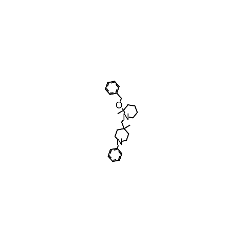 CC1(CN2CCCCC2(C)OCc2ccccc2)CCN(c2ccccc2)CC1